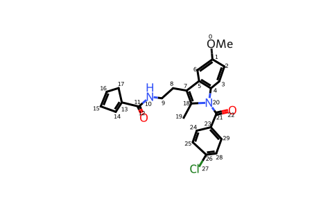 COc1ccc2c(c1)c(CCNC(=O)C1=CC=CC1)c(C)n2C(=O)c1ccc(Cl)cc1